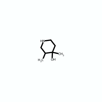 CC1CNCCC1(C)O